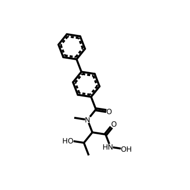 CC(O)C(C(=O)NO)N(C)C(=O)c1ccc(-c2ccccc2)cc1